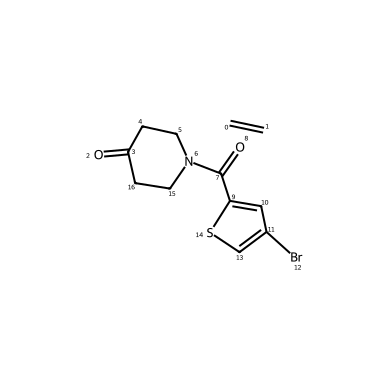 C=C.O=C1CCN(C(=O)c2cc(Br)cs2)CC1